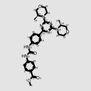 COC(=O)c1ccc(NC(=O)Nc2ccc(-c3nc(N4CCOC[C@@H]4C)nc(N4CCOC[C@@H]4C)n3)cc2)cc1